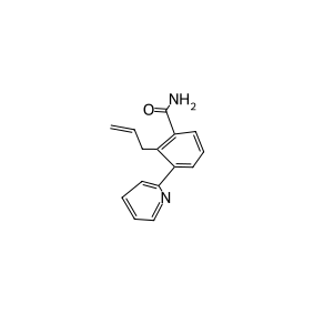 C=CCc1c(C(N)=O)cccc1-c1ccccn1